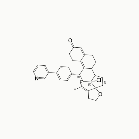 C[C@]12C[C@H](c3ccc(-c4cccnc4)cc3)C3=C4CCC(=O)C=C4CCC3C1CCC21OCCC1=C(F)F